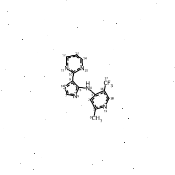 Cc1cc(Nc2ncsc2-c2ncccn2)c(C(F)(F)F)cn1